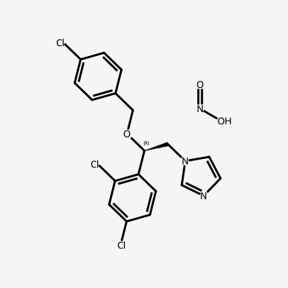 Clc1ccc(CO[C@@H](Cn2ccnc2)c2ccc(Cl)cc2Cl)cc1.O=NO